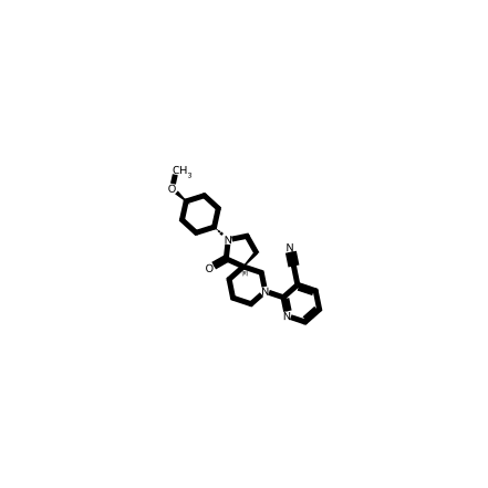 CO[C@H]1CC[C@H](N2CC[C@@]3(CCCN(c4ncccc4C#N)C3)C2=O)CC1